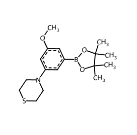 COc1cc(B2OC(C)(C)C(C)(C)O2)cc(N2CCSCC2)c1